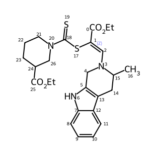 CCOC(=O)/C(=C/N1Cc2[nH]c3ccccc3c2CC1C)SC(=S)N1CCCC(C(=O)OCC)C1